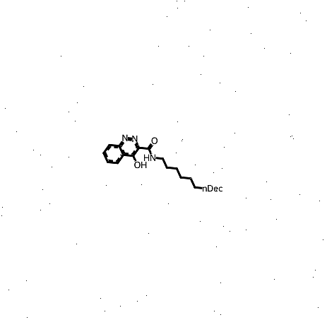 CCCCCCCCCCCCCCCCNC(=O)c1nnc2ccccc2c1O